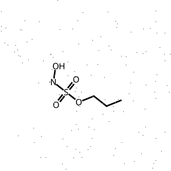 CCCOS(=O)(=O)[N]O